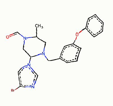 CC1CN(Cc2cccc(Oc3ccccc3)c2)C(n2cnc(Br)c2)CN1C=O